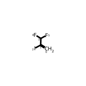 C=C(I)C(F)F